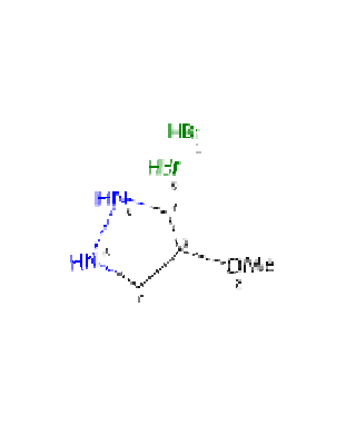 Br.Br.COC1CNNC1